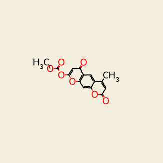 COC(=O)Oc1cc(=O)c2cc3c(C)cc(=O)oc3cc2o1